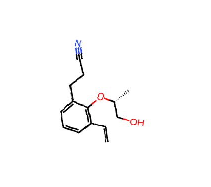 C=Cc1cccc(CCC#N)c1O[C@H](C)CO